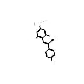 Cc1cc(NN)cc(Cl)c1C=C(C#N)c1ccc(Cl)cc1